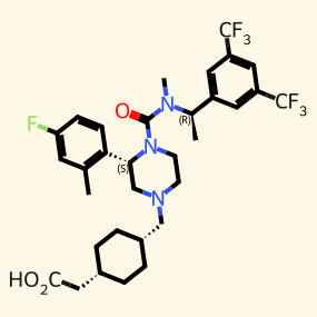 Cc1cc(F)ccc1[C@H]1CN(C[C@H]2CC[C@@H](CC(=O)O)CC2)CCN1C(=O)N(C)[C@H](C)c1cc(C(F)(F)F)cc(C(F)(F)F)c1